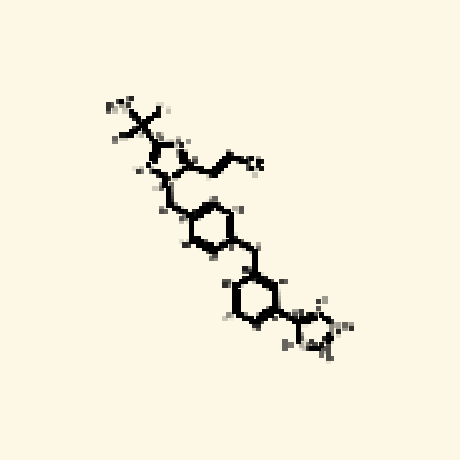 CCC=Cc1nc(C(F)(F)CCC)nn1Cc1ccc(Cc2cccc(-c3nnn[nH]3)c2)cc1